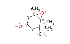 CC1(C)C[C@H](O)C[C@@]2(C)O[C@@]12C